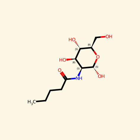 CCCCC(=O)N[C@H]1[C@@H](O)[C@H](O)[C@@H](CO)O[C@@H]1O